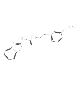 COc1cccc(CCNC(=S)Nc2nc3ccccc3s2)c1